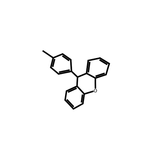 Cc1ccc(C2c3ccccc3Oc3ccccc32)cc1